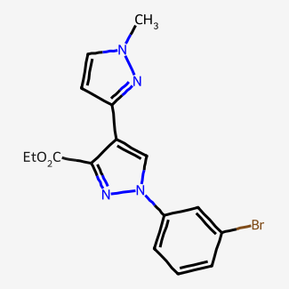 CCOC(=O)c1nn(-c2cccc(Br)c2)cc1-c1ccn(C)n1